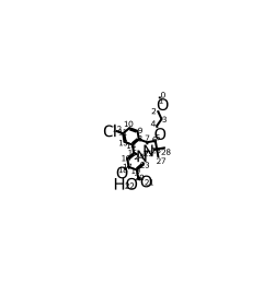 COCCCOC1C2c3ccc(Cl)cc3-c3cc(=O)c(C(=O)O)cn3N2C1(C)C